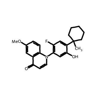 COc1ccc2c(c1)c(=O)ccn2-c1cc(O)c(C2(C)CCCCC2)cc1F